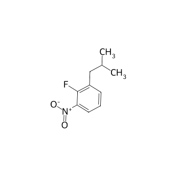 CC(C)Cc1cccc([N+](=O)[O-])c1F